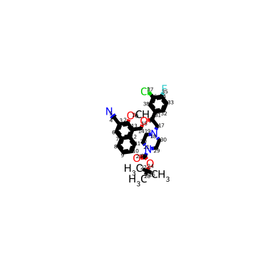 COc1c(C#N)cc2ccccc2c1COC(CN1CCN(C(=O)OC(C)(C)C)CC1)c1ccc(F)c(Cl)c1